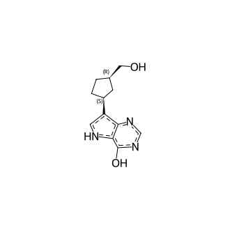 OC[C@@H]1CC[C@H](c2c[nH]c3c(O)ncnc23)C1